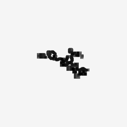 CCn1nc(C)cc1-c1n[nH]c(-c2cc(C(N)=O)cc3c2cnn3CCN2CCO[C@@H](CO)C2)n1